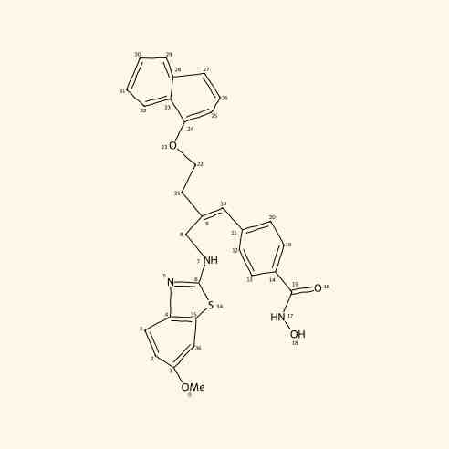 COc1ccc2nc(NCC(=Cc3ccc(C(=O)NO)cc3)CCOc3cccc4ccccc34)sc2c1